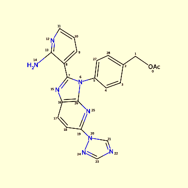 CC(=O)OCc1ccc(-n2c(-c3cccnc3N)nc3ccc(-n4cncn4)nc32)cc1